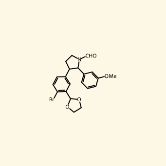 COc1cccc(C2C(c3ccc(Br)c(C4OCCO4)c3)CCN2C=O)c1